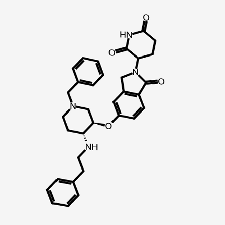 O=C1CCC(N2Cc3cc(O[C@@H]4CN(Cc5ccccc5)CC[C@H]4NCCc4ccccc4)ccc3C2=O)C(=O)N1